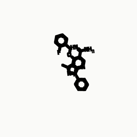 Cc1nn(-c2ccccc2)c2ncc(C(=N)N)c(OCc3ccccc3F)c12